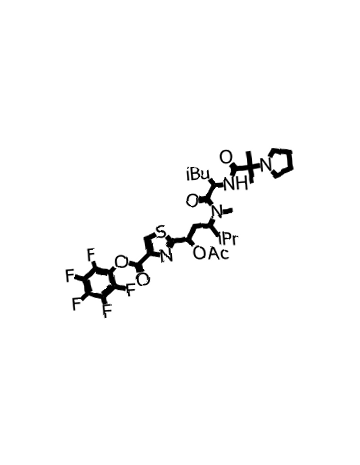 CCC(C)C(NC(=O)C(C)(C)N1CCCC1)C(=O)N(C)C(CC(OC(C)=O)c1nc(C(=O)Oc2c(F)c(F)c(F)c(F)c2F)cs1)C(C)C